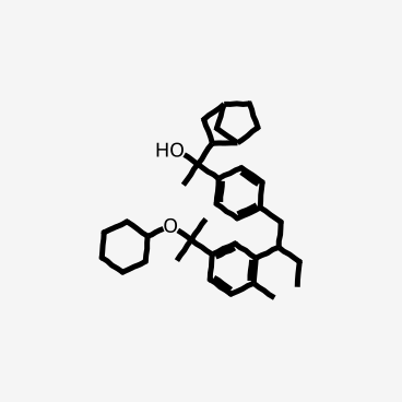 CCC(Cc1ccc(C(C)(O)C2CC3CCC2C3)cc1)c1cc(C(C)(C)OC2CCCCC2)ccc1C